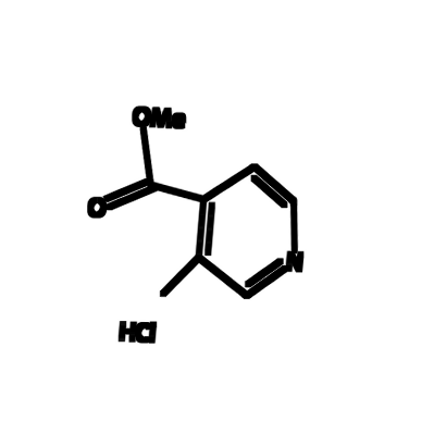 COC(=O)c1ccncc1C.Cl